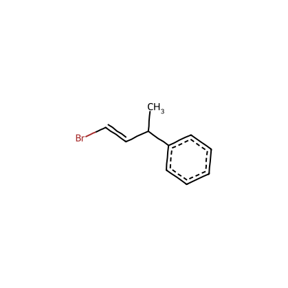 CC(C=CBr)c1ccccc1